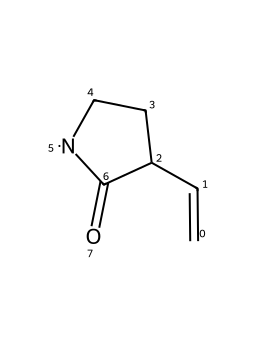 C=CC1CC[N]C1=O